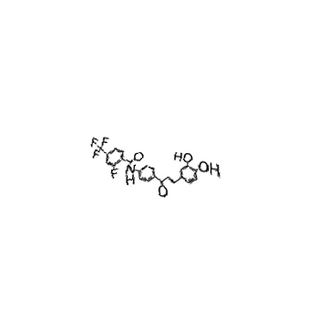 O=C(C=Cc1ccc(O)c(O)c1)c1ccc(NC(=O)c2ccc(C(F)(F)F)cc2F)cc1